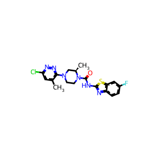 Cc1cc(Cl)nnc1N1CCN(C(=O)Nc2nc3ccc(F)cc3s2)[C@H](C)C1